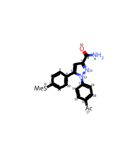 CSc1ccc(-c2cc(C(N)=O)nn2-c2ccc(C(C)=O)cc2)cc1